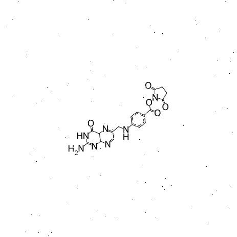 NC1=NC2N=CC(CNc3ccc(C(=O)ON4C(=O)CCC4=O)cc3)=NC2C(=O)N1